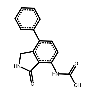 O=C(O)Nc1ccc(-c2ccccc2)c2c1C(=O)NC2